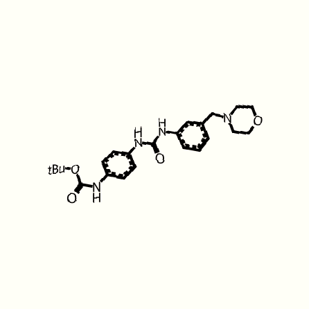 CC(C)(C)OC(=O)Nc1ccc(NC(=O)Nc2cccc(CN3CCOCC3)c2)cc1